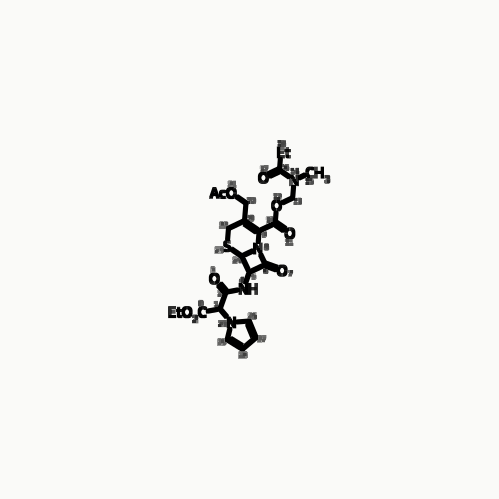 CCOC(=O)C(C(=O)NC1C(=O)N2C(C(=O)OCN(C)C(=O)CC)=C(COC(C)=O)CSC12)n1cccc1